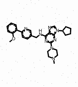 COc1ccccc1-c1ccc(CNc2nc(N3CCN(C)CC3)nc3c2ncn3C2CCCC2)cn1